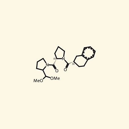 COC(OC)C1CCCN1C(=O)[C@@H]1CCCN1C(=O)[C@H]1CCc2ccccc2C1